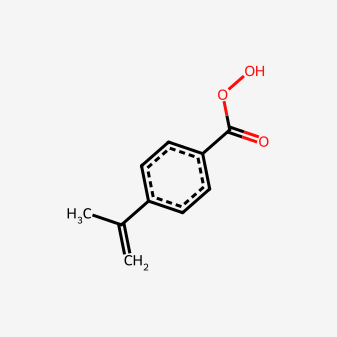 C=C(C)c1ccc(C(=O)OO)cc1